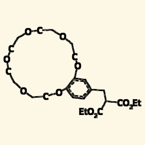 CCOC(=O)C(Cc1ccc2c(c1)OCCOCCOCCOCCOCCO2)C(=O)OCC